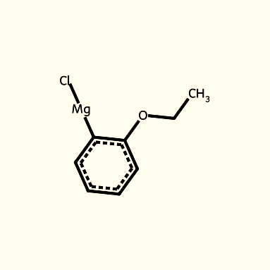 CCOc1cccc[c]1[Mg][Cl]